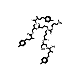 Cc1ccc(CCC(C)C(=O)OCC(COC(=O)C(C)CCc2ccc(C)cc2)OC(=O)CCCN(CCCC(=O)OC(CO)COC(O)C(C)CCc2ccc(C)cc2)C(=O)SCCCN(C)C)cc1